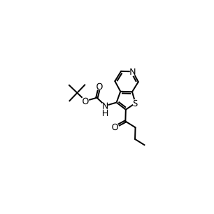 CCCC(=O)c1sc2cnccc2c1NC(=O)OC(C)(C)C